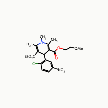 CCOC(=O)C1=C(C)N(C)C(C)=C(C(=O)OCCOC)C1c1cc([N+](=O)[O-])ccc1Cl